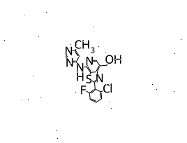 Cc1cc(Nc2ncc(CO)c3nc(-c4c(F)cccc4Cl)sc23)ncn1